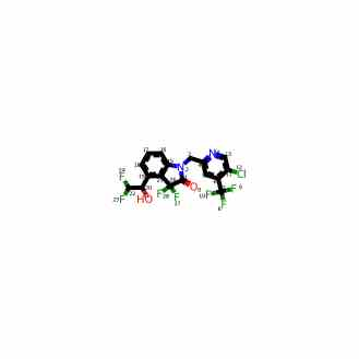 O=C1N(Cc2cc(C(F)(F)F)c(Cl)cn2)c2cccc(C(O)C(F)F)c2C1(F)F